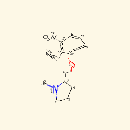 CN1CCCC1COc1cccc([N+](=O)[O-])c1C#N